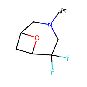 CC(C)N1CC2CC(O2)C(F)(F)C1